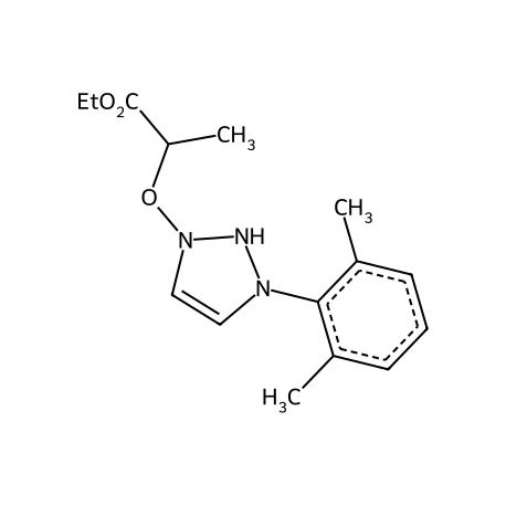 CCOC(=O)C(C)ON1C=CN(c2c(C)cccc2C)N1